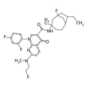 CCC1CC2(F)CC1CCC(C)(NC(=O)c1cn(-c3ccc(F)cc3F)c3nc(N(C)CCF)ccc3c1=O)C2